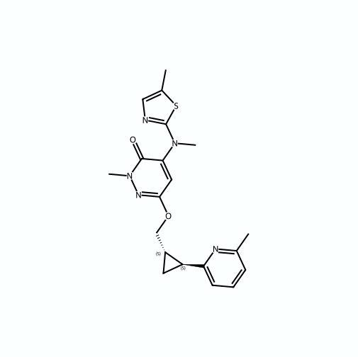 Cc1cccc([C@H]2C[C@@H]2COc2cc(N(C)c3ncc(C)s3)c(=O)n(C)n2)n1